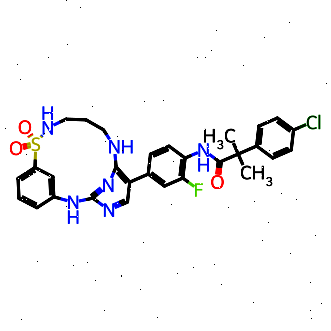 CC(C)(C(=O)Nc1ccc(-c2cnc3nc2NCCCNS(=O)(=O)c2cccc(c2)N3)cc1F)c1ccc(Cl)cc1